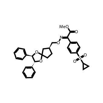 COC(=O)/C(=N/OC[C@H]1CCC2(C1)O[C@H](c1ccccc1)[C@@H](c1ccccc1)O2)c1ccc(S(=O)(=O)C2CC2)cc1